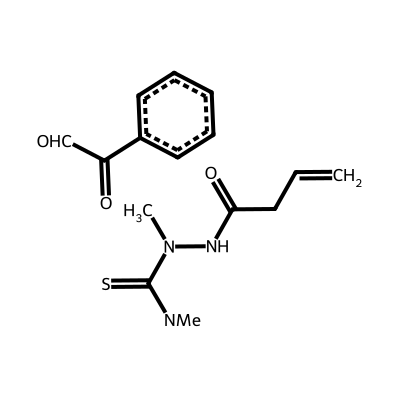 C=CCC(=O)NN(C)C(=S)NC.O=CC(=O)c1ccccc1